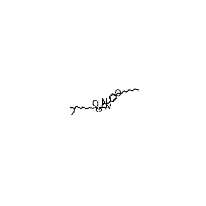 CCCCCCCOc1ccc(-c2ncc(OC(=O)CCCCCCC(C)CC)cn2)cc1